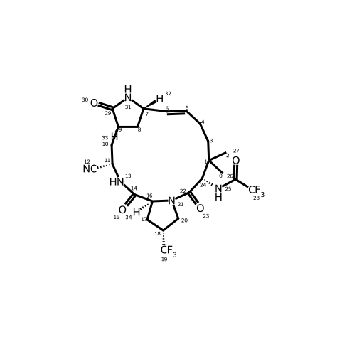 CC1(C)CC/C=C/[C@@H]2C[C@@H](C[C@@H](C#N)NC(=O)[C@@H]3C[C@@H](C(F)(F)F)CN3C(=O)[C@H]1NC(=O)C(F)(F)F)C(=O)N2